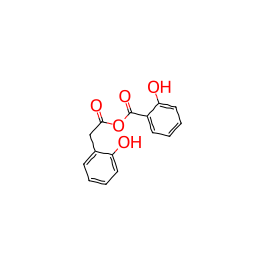 O=C(Cc1ccccc1O)OC(=O)c1ccccc1O